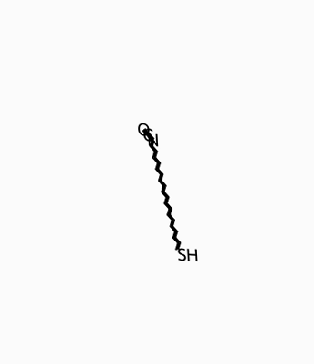 O=C=NCCCCCCCCCCCCCCCCCCCS